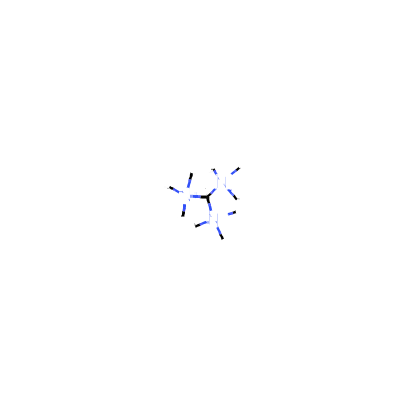 C[N+](C)(C)C([N+](C)(C)C)[N+](C)(C)C